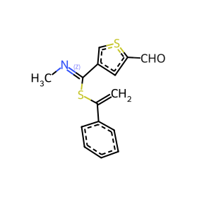 C=C(S/C(=N\C)c1csc(C=O)c1)c1ccccc1